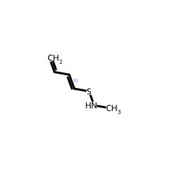 C=C/C=C/SNC